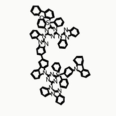 c1ccc([Si](c2ccccc2)(c2ccc(-n3c4ccccc4c4ccccc43)cc2)c2nc(-n3c4ccccc4c4cc(-c5ccc6c(c5)nc5n(-c7nc(-n8c9ccccc9n9c%10ccccc%10nc89)nc([Si](c8ccccc8)(c8ccccc8)c8cccc9c8oc8ccccc89)n7)c7ccccc7n65)ccc43)nc(-n3c4ccccc4n4c5ccccc5nc34)n2)cc1